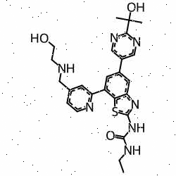 CCNC(=O)Nc1nc2cc(-c3cnc(C(C)(C)O)nc3)cc(-c3cc(CNCCO)ccn3)c2s1